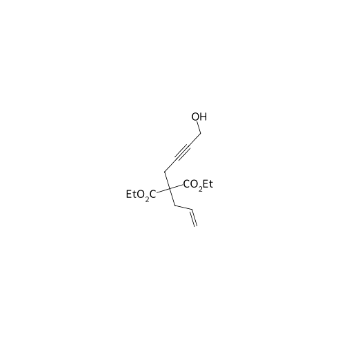 C=CCC(CC#CCO)(C(=O)OCC)C(=O)OCC